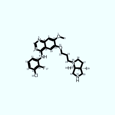 COc1cc2ncnc(Nc3cccc(Cl)c3F)c2cc1OCCCN1CC[C@@]2(I)CNC[C@@H]12